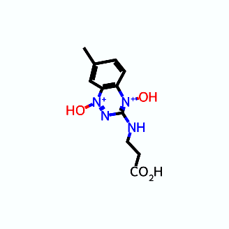 Cc1ccc2c(c1)[n+](O)nc(NCCC(=O)O)[n+]2O